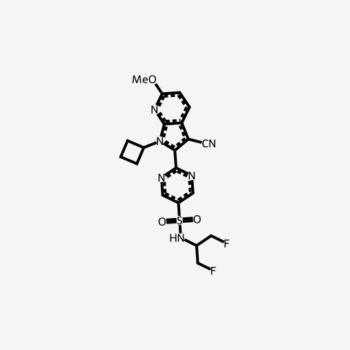 COc1ccc2c(C#N)c(-c3ncc(S(=O)(=O)NC(CF)CF)cn3)n(C3CCC3)c2n1